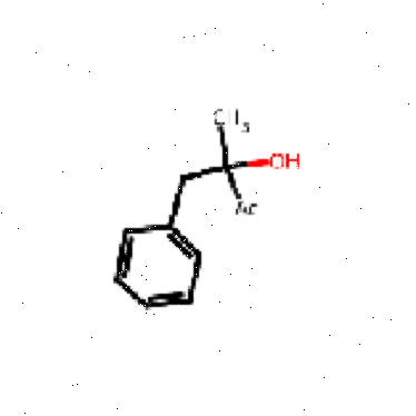 CC(=O)C(C)(O)Cc1ccccc1